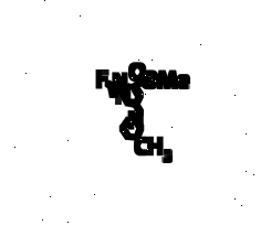 COC(=O)c1cc(CN2CCC[C@H](C)C2)cn2cc(F)nc12